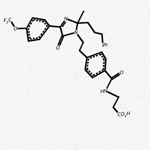 CC(C)CCCC1(C)N=C(c2ccc(OC(F)(F)F)cc2)C(=O)N1CCc1ccc(C(=O)NCCC(=O)O)cc1